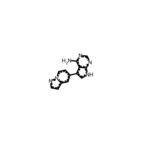 Nc1ncnc2[nH]cc(-c3ccn4nccc4c3)c12